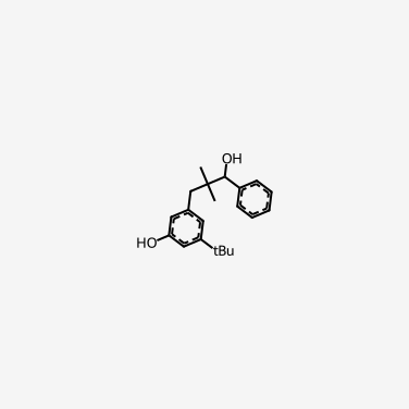 CC(C)(C)c1cc(O)cc(CC(C)(C)C(O)c2ccccc2)c1